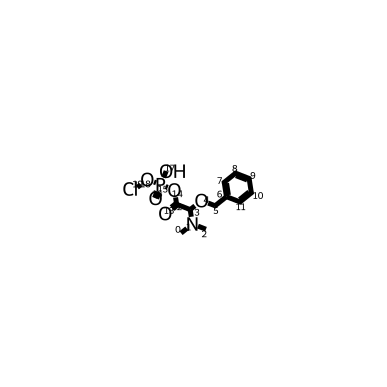 CN(C)C(OCc1ccccc1)C(=O)OP(=O)(O)OCl